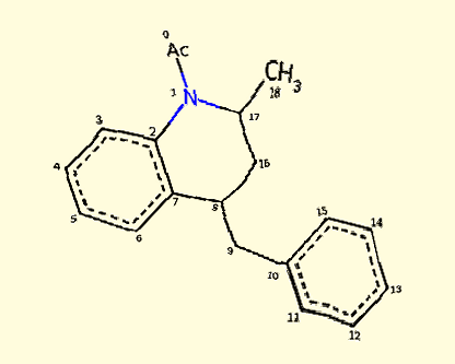 CC(=O)N1c2ccccc2C(Cc2ccccc2)CC1C